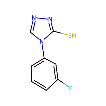 Fc1cccc(-n2cnnc2S)c1